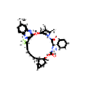 COc1ccc2nc3c(nc2c1)O[C@H]1CN(C(=O)[C@H](C2CCCCC2)NC(=O)O[C@@H]2CC4CC4[C@H]2CCCCC3(F)F)[C@H](C(C)=O)[C@@H]1C